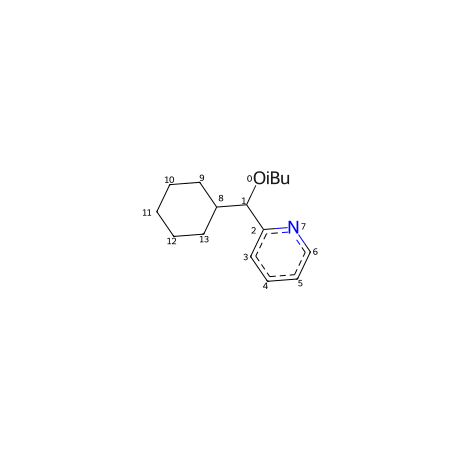 CC(C)COC(c1ccccn1)C1CCCCC1